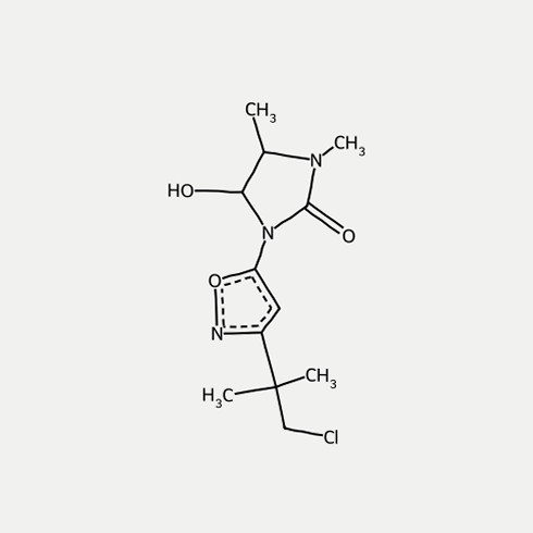 CC1C(O)N(c2cc(C(C)(C)CCl)no2)C(=O)N1C